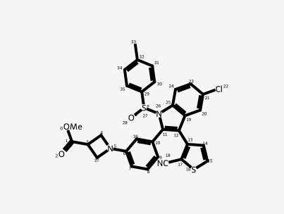 COC(=O)C1CN(c2cccc(-c3c(-c4ccsc4C#N)c4cc(Cl)ccc4n3[S+]([O-])c3ccc(C)cc3)c2)C1